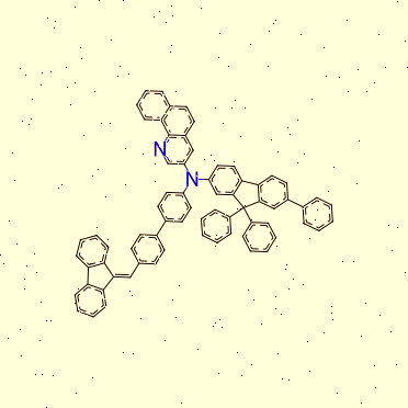 C(=C1c2ccccc2-c2ccccc21)c1ccc(-c2ccc(N(c3ccc4c(c3)C(c3ccccc3)(c3ccccc3)c3cc(-c5ccccc5)ccc3-4)c3cnc4c(ccc5ccccc54)c3)cc2)cc1